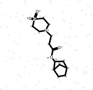 O=C(CCN1CCS(=O)(=O)CC1)OC1CC2CCC1C2